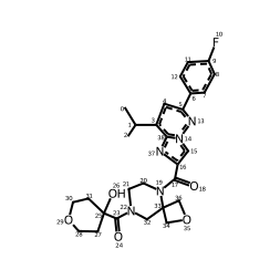 CC(C)c1cc(-c2ccc(F)cc2)nn2cc(C(=O)N3CCN(C(=O)C4(O)CCOCC4)CC34COC4)nc12